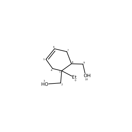 CCC1(CO)CC=CCC1CO